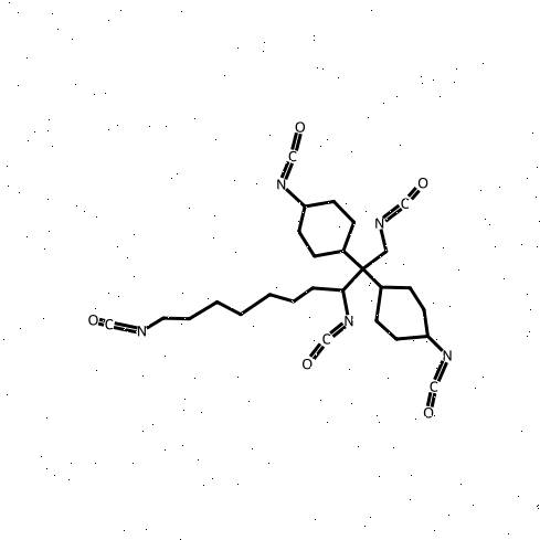 O=C=NCCCCCCCC(N=C=O)C(CN=C=O)(C1CCC(N=C=O)CC1)C1CCC(N=C=O)CC1